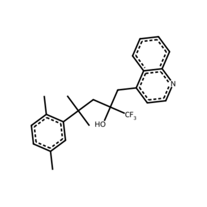 Cc1ccc(C)c(C(C)(C)CC(O)(Cc2ccnc3ccccc23)C(F)(F)F)c1